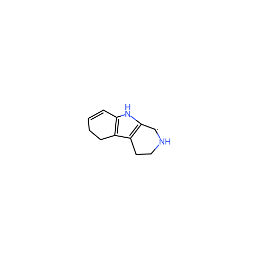 [CH]1NCCc2c1[nH]c1c2CCC=C1